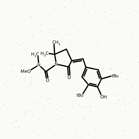 CON(C)C(=O)N1C(=O)/C(=C\c2cc(C(C)(C)C)c(O)c(C(C)(C)C)c2)CC1(C)C